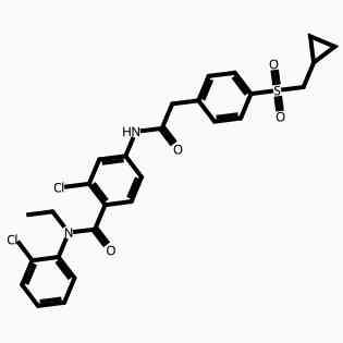 CCN(C(=O)c1ccc(NC(=O)Cc2ccc(S(=O)(=O)CC3CC3)cc2)cc1Cl)c1ccccc1Cl